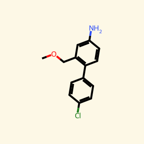 COCc1cc(N)ccc1-c1ccc(Cl)cc1